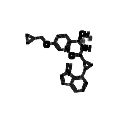 C[C@@H](NC(=O)C1CC1c1cccc2cc[nH]c12)c1ccc(OCC2CC2)cn1